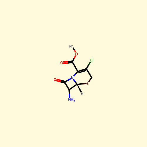 CC(C)OC(=O)C1=C(Cl)CS[C@@H]2C(N)C(=O)N12